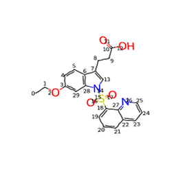 CCOc1ccc2c(CCC(=O)O)cn(S(=O)(=O)c3cccc4cccnc34)c2c1